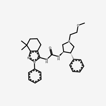 COCCN1C[C@H](NC(=O)Nc2c3c(nn2-c2ccccc2)C(C)(C)CCC3)[C@@H](c2ccccc2)C1